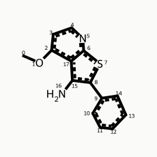 COc1ccnc2sc(-c3ccccc3)c(N)c12